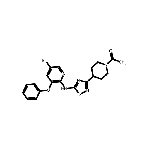 CC(=O)N1CCC(c2nsc(Nc3ncc(Br)cc3Oc3ccccc3)n2)CC1